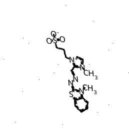 Cn1cc[n+](CCCS(=O)(=O)[O-])c1/C=N/N=c1/sc2ccccc2n1C